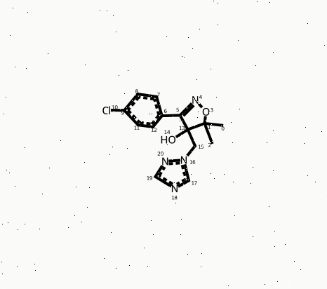 CC1(C)ON=C(c2ccc(Cl)cc2)C1(O)Cn1cncn1